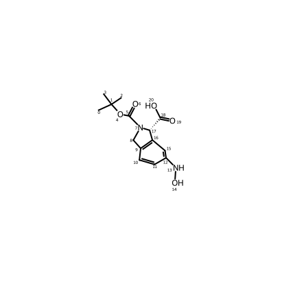 CC(C)(C)OC(=O)N1Cc2ccc(NO)cc2[C@H]1C(=O)O